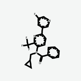 O=C(c1ccccc1)N(CC1CC1)c1ccc(-c2cncc(F)c2)nc1C(F)(F)F